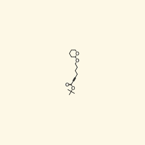 CC(C)(C)OC(=O)C#CCCCCOC1CCCCO1